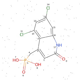 O=c1cc(CP(=O)(O)O)c2c(Cl)cc(Cl)cc2[nH]1